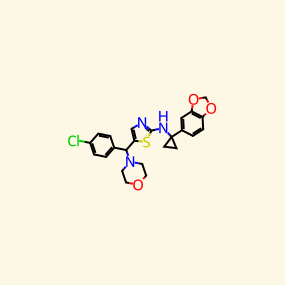 Clc1ccc(C(c2cnc(NC3(c4ccc5c(c4)OCO5)CC3)s2)N2CCOCC2)cc1